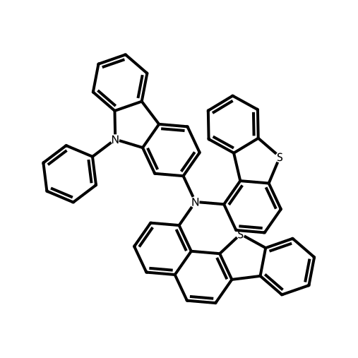 c1ccc(-n2c3ccccc3c3ccc(N(c4cccc5sc6ccccc6c45)c4cccc5ccc6c7ccccc7sc6c45)cc32)cc1